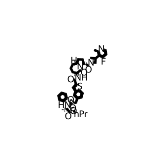 CCCOC(=O)[C@H](C)NP(=O)(Cc1ccc2sc(C(=O)N[C@H]3CCC[C@H]4CC[C@@H](C(=O)N5CC(c6c(F)ccnc6C)C5)N4C3=O)cc2c1)Oc1ccccc1